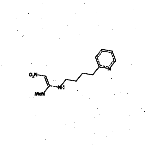 CNC(=C[N+](=O)[O-])NCCCCc1ccccn1